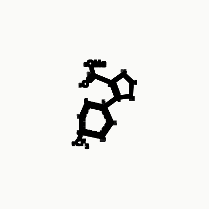 COC(=O)C1=C(c2ccc(C(F)(F)F)cc2)CCC1